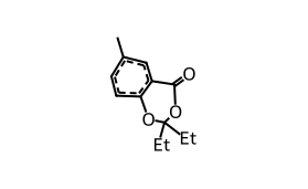 CCC1(CC)OC(=O)c2cc(C)ccc2O1